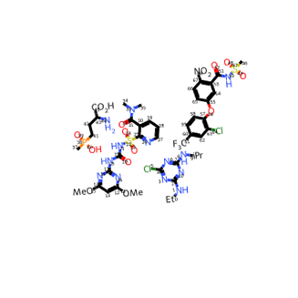 CCNc1nc(Cl)nc(NC(C)C)n1.COc1cc(OC)nc(NC(=O)NS(=O)(=O)c2ncccc2C(=O)N(C)C)n1.CP(=O)(O)CCC(N)C(=O)O.CS(=O)(=O)NC(=O)c1cc(Oc2ccc(C(F)(F)F)cc2Cl)ccc1[N+](=O)[O-]